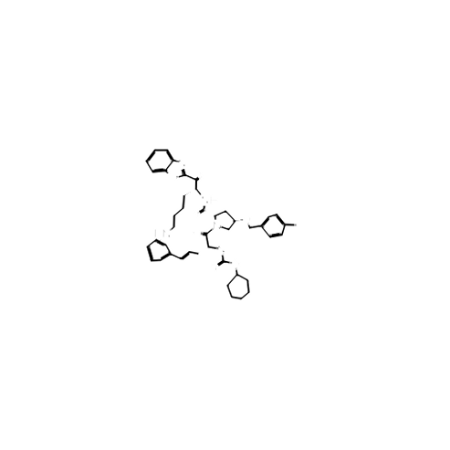 NCCCC[C@H](NC(=O)[C@@H]1C[C@@H](OCc2ccc(Cl)cc2)CN1C(=O)[C@@H](C/C=C/c1ccccc1)NC(=O)OC1CCCCC1)C(=O)c1nc2ccccc2o1